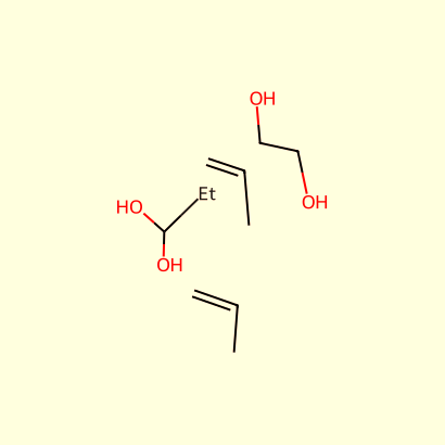 C=CC.C=CC.CCC(O)O.OCCO